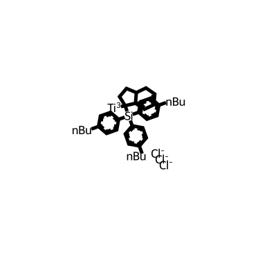 CCCCc1ccc([Si](c2ccc(CCCC)cc2)(c2ccc(CCCC)cc2)[C]2([Ti+3])CCC3CC=CC=C32)cc1.[Cl-].[Cl-].[Cl-]